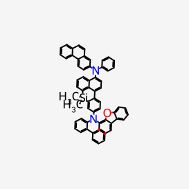 C[Si]1(C)c2cc(N(c3ccccc3-c3ccccc3)c3cccc4c3oc3ccccc34)ccc2-c2ccc(N(c3ccccc3)c3ccc4c(ccc5ccccc54)c3)c3cccc1c23